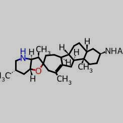 CC(=O)N[C@H]1CC[C@@]2(C)[C@H](CC[C@H]3[C@@H]4CCC5(CC(C)=C4C[C@@H]32)O[C@@H]2C[C@H](C)CN[C@H]2[C@H]5C)C1